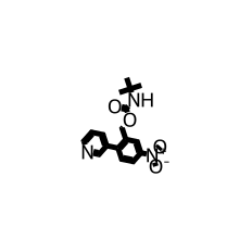 CC(C)(C)NC(=O)OCc1cc([N+](=O)[O-])ccc1-c1cccnc1